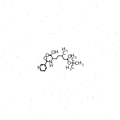 CC(CCC(NC(=O)c1cccnc1)C(=O)O)CC(=O)OC(C)(C)C